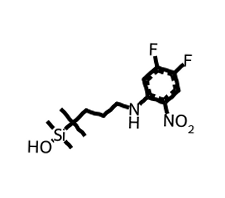 CC(C)(CCCNc1cc(F)c(F)cc1[N+](=O)[O-])[Si](C)(C)O